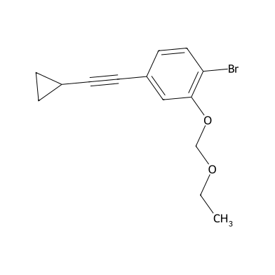 CCOCOc1cc(C#CC2CC2)ccc1Br